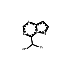 CCCC(CCC)c1ncnc2ccnn12